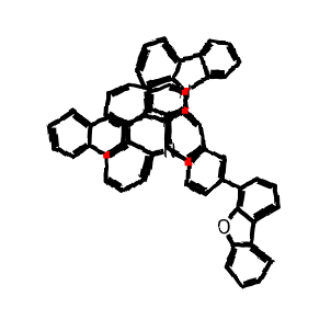 c1ccc(-c2ccccc2-n2c3ccccc3c3ccccc32)c(-c2ccccc2N(c2ccc(-c3cccc4c3oc3ccccc34)cc2)c2ccccc2-c2ccc3ccccc3c2)c1